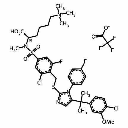 COc1cc(C(C)(C)c2cnc(SCc3c(F)cc(S(=O)(=O)N(C)[C@H](CCCC[N+](C)(C)C)C(=O)O)cc3Cl)n2-c2ccc(F)cc2)ccc1Cl.O=C([O-])C(F)(F)F